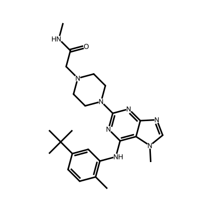 CNC(=O)CN1CCN(c2nc(Nc3cc(C(C)(C)C)ccc3C)c3c(ncn3C)n2)CC1